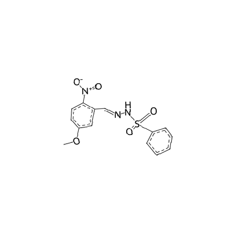 COc1ccc([N+](=O)[O-])c(C=NNS(=O)(=O)c2ccccc2)c1